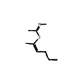 CCC/C=C(/C)S/C(C)=N\C